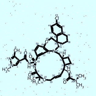 Cc1nn(C)cc1C(=O)NS1(=O)=NC(=O)C(C)(C)OC/C=C/[C@H](OC(=O)N(C)C)[C@@H]2CC[C@H]2CN2C[C@@]3(CCCc4cc(Cl)ccc43)COc3ccc1cc32